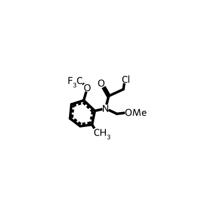 COCN(C(=O)CCl)c1c(C)cccc1OC(F)(F)F